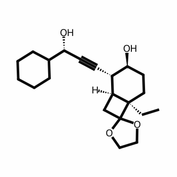 CC[C@@]12CC[C@H](O)[C@@H](C#C[C@@H](O)C3CCCCC3)[C@@H]1CC21OCCO1